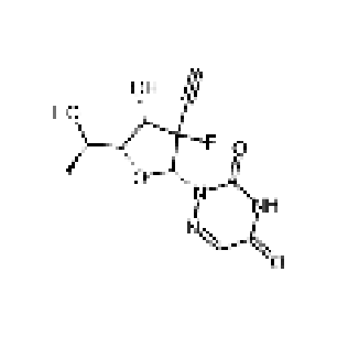 C#CC1(F)[C@@H](O)[C@@H]([C@@H](C)O)O[C@H]1n1ncc(=O)[nH]c1=O